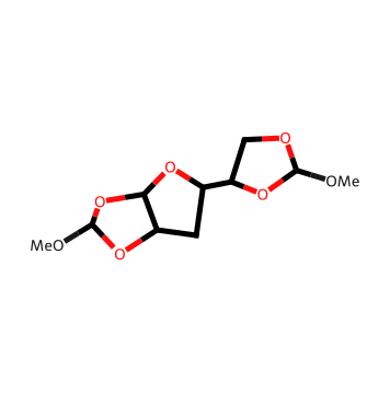 COC1OCC(C2CC3OC(OC)OC3O2)O1